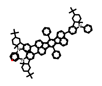 CC(C)(C)C1CCC2(C)C(C1)c1cc(-c3ccc4c5c(-c6ccccc6)c6c7ccc(-c8ccc9c(c8)C8CC(C(C)(C)C)CCC8(C)N9c8ccccc8)c8c(-c9ccc%10c(c9)C9CC(C(C)(C)C)CCC9(C)N%10c9ccccc9)ccc(c6c(-c6ccccc6)c5c5cccc3c54)c87)ccc1N2c1ccccc1